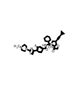 CN1CCN(c2nc(-c3ccc(C(=O)NC(C=O)(C4CCCCC4)N4CC(C#CC5CC5)C5OCC(=O)C54)cc3F)cs2)CC1